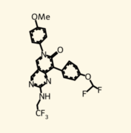 COc1ccc(-n2cc3cnc(NCC(F)(F)F)nc3c(-c3ccc(OC(F)F)cc3)c2=O)cc1